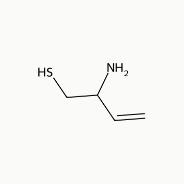 C=CC(N)CS